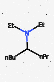 CCCCC(CCC)N(CC)CC